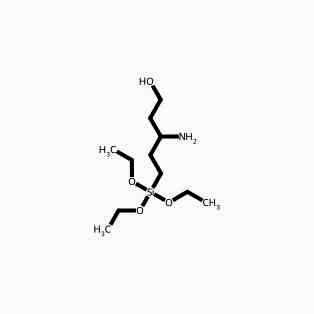 CCO[Si](CCC(N)CCO)(OCC)OCC